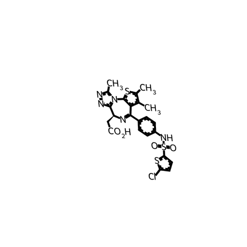 Cc1sc2c(c1C)C(c1ccc(NS(=O)(=O)c3ccc(Cl)s3)cc1)=N[C@@H](CC(=O)O)c1nnc(C)n1-2